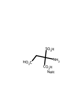 NC(CC(=O)O)(C(=O)O)S(=O)(=O)O.[NaH]